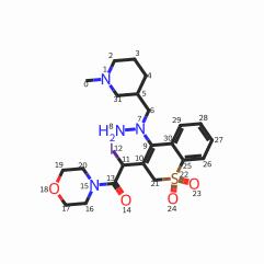 CN1CCCC(CN(N)C2=C(C(I)C(=O)N3CCOCC3)CS(=O)(=O)c3ccccc32)C1